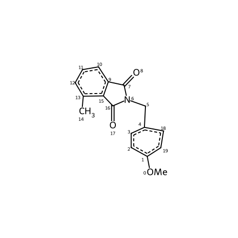 COc1ccc(CN2C(=O)c3cccc(C)c3C2=O)cc1